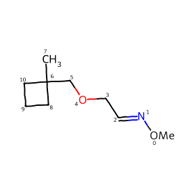 CO/N=C/COCC1(C)CCC1